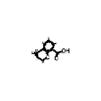 O=C(O)c1cccc2c1OCC1CC21